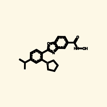 CC(C)c1ccc(-c2nc3cc(C(=O)NO)ccc3o2)c(N2CCCC2)c1